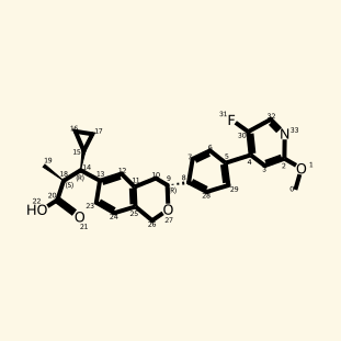 COc1cc(-c2ccc([C@H]3Cc4cc([C@H](C5CC5)[C@H](C)C(=O)O)ccc4CO3)cc2)c(F)cn1